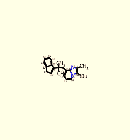 Cc1nc2c(CC(C)(C)C3=CCc4ccccc43)cccn2c1C(C)(C)C